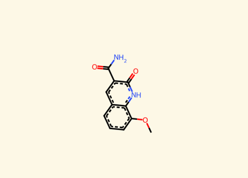 COc1cccc2cc(C(N)=O)c(=O)[nH]c12